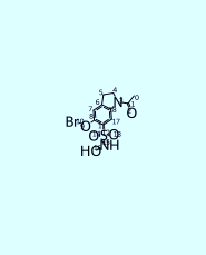 CC(=O)N1CCc2cc(OBr)c(S(=O)(=O)NO)cc21